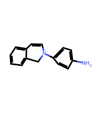 Nc1ccc(N2C=Cc3ccccc3C2)cc1